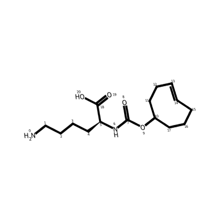 NCCCC[C@H](NC(=O)OC1CC/C=C/CCC1)C(=O)O